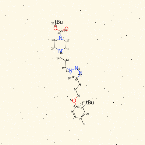 Cc1ccc(OCCCc2cn(CCCN3CCN(C(=O)OC(C)(C)C)CC3)nn2)c(C(C)(C)C)c1